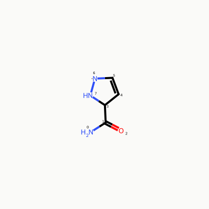 NC(=O)C1C=C[N]N1